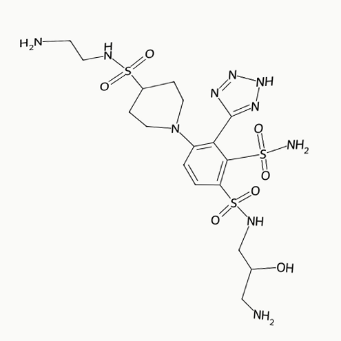 NCCNS(=O)(=O)C1CCN(c2ccc(S(=O)(=O)NCC(O)CN)c(S(N)(=O)=O)c2-c2nn[nH]n2)CC1